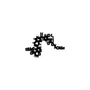 COCCOCC(=O)Nc1ccc(Nc2ncc3c(n2)CN(c2cnc4c(c2C)N(C(=O)OC(C)(C)C)CCO4)CC3)cc1C